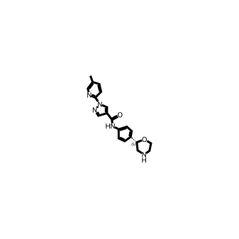 Cc1ccc(-n2cc(C(=O)Nc3ccc([C@H]4CNCCO4)cc3)cn2)nc1